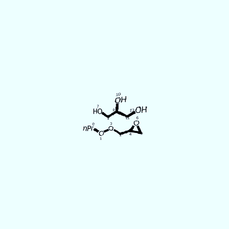 CCCOOCC1CO1.OCC(O)CO